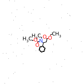 CCOC(=O)CC(c1ccccc1)N(CC)C(=O)OCC